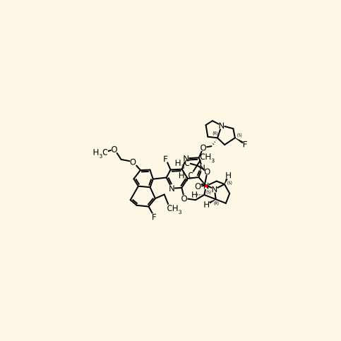 CCc1c(F)ccc2cc(OCOC)cc(-c3nc4c5c(nc(OC[C@]67CCCN6C[C@@H](F)C7)nc5c3F)N3C[C@@H]5CC[C@H]([C@H]3CO4)N5C(=O)OC(C)(C)C)c12